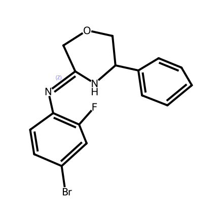 Fc1cc(Br)ccc1/N=C1/COCC(c2ccccc2)N1